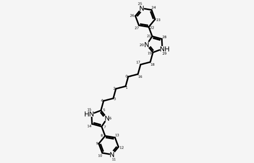 [CH](CCCCc1nc(-c2ccncc2)c[nH]1)CCCc1nc(-c2ccncc2)c[nH]1